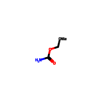 [CH2]OCOC(N)=O